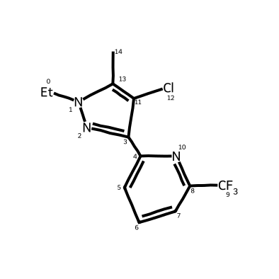 CCn1nc(-c2cccc(C(F)(F)F)n2)c(Cl)c1C